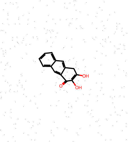 O=C1C(O)=C(O)Cc2cc3ccccc3cc21